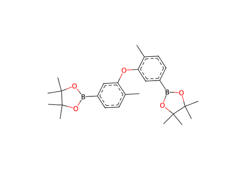 Cc1ccc(B2OC(C)(C)C(C)(C)O2)cc1Oc1cc(B2OC(C)(C)C(C)(C)O2)ccc1C